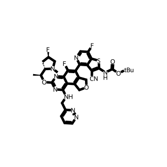 C[C@H](Oc1nc(NCc2cccnn2)c2c3c(c(-c4ncc(F)c5sc(NC(=O)OC(C)(C)C)c(C#N)c45)c(F)c2n1)COC3)[C@@H]1C[C@@H](F)CN1C